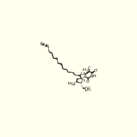 Cc1cn([C@@]2(C(=O)CCCCCCCCCCCN=[N+]=[N-])C[C@H](O)[C@@H](CO)O2)c(=O)[nH]c1=O